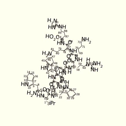 CC(C)C[C@H](NC(=O)[C@@H](N)Cc1c[nH]c2ccccc12)C(=O)N[C@@H](Cc1c[nH]c2ccccc12)C(=O)N[C@H](C(=O)N[C@@H](Cc1c[nH]c2ccccc12)C(=O)N[C@H](C(=O)N[C@@H](CCCNC(=N)N)C(=O)N[C@@H](CCCCN)C(=O)N[C@@H](CCCCN)C(=O)N[C@@H](CCCNC(=N)N)C(=O)O)C(C)C)C(C)C